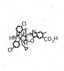 Cc1cc2nn3c(c2cc1C(=O)O)OC[C@H]1[C@@H](C3)[C@H](c2cccc(Cl)c2F)[C@]2(C(=O)Nc3cc(Cl)ccc32)N1CC1CC1